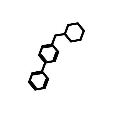 c1ccc(-c2ccc(CC3CCCCC3)cc2)cc1